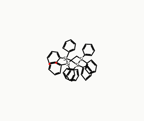 c1ccc([Si]2(c3ccccc3)CC3([Si]2(c2ccccc2)c2ccccc2)[Si](c2ccccc2)(c2ccccc2)[Si]3(c2ccccc2)c2ccccc2)cc1